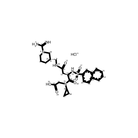 Cl.N=C(N)N1CCC[C@@H](CNC(=O)C[C@@H](NS(=O)(=O)c2ccc3ccccc3c2)C(=O)N(CC(=O)O)C2CC2)C1